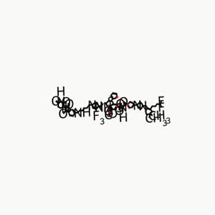 CC1(C)CCC(CN2CCN(c3ccc(C(=O)NS(=O)(=O)c4ccc(N[C@H](CCN5CCN(CCCCCNc6ccc7c(c6)C(=O)N(C6CCC(=O)NC6=O)C7=O)CC5)CSc5ccccc5)c(S(=O)(=O)C(F)(F)F)c4)cc3)CC2)=C(CCCC(F)F)C1